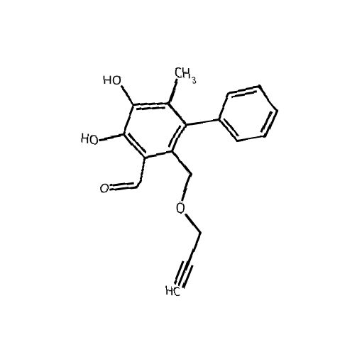 C#CCOCc1c(C=O)c(O)c(O)c(C)c1-c1ccccc1